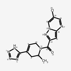 CC1CC(c2nnn[nH]2)=CCN1C(=O)c1cc2ncc(Cl)cn2n1